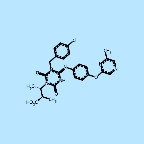 Cc1cncc(Oc2ccc(/N=c3\[nH]c(=O)n([C@@H](C)[C@@H](C)C(=O)O)c(=O)n3Cc3ccc(Cl)cc3)cc2)n1